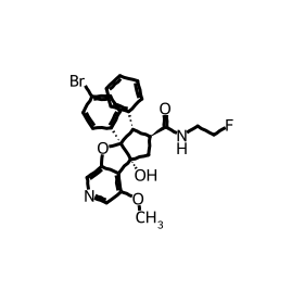 COc1cncc2c1[C@]1(O)C[C@H](C(=O)NCCF)[C@@H](c3ccccc3)[C@]1(c1ccc(Br)cc1)O2